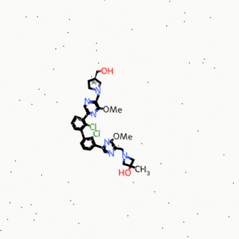 COc1nc(-c2cccc(-c3cccc(-c4cnc(CN5CC(C)(O)C5)c(OC)n4)c3Cl)c2Cl)cnc1CN1CC[C@@H](CO)C1